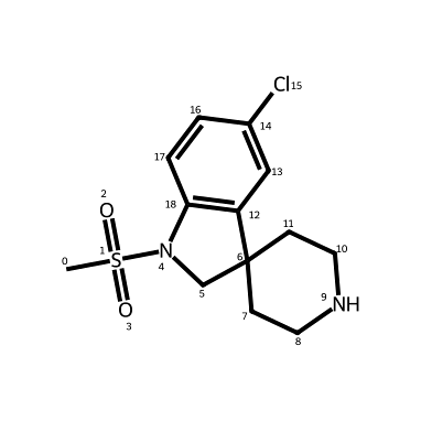 CS(=O)(=O)N1CC2(CCNCC2)c2cc(Cl)ccc21